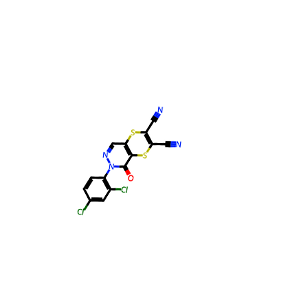 N#CC1=C(C#N)Sc2c(cnn(-c3ccc(Cl)cc3Cl)c2=O)S1